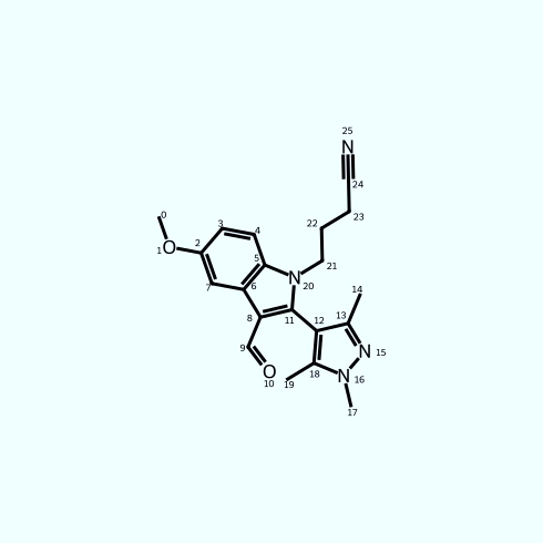 COc1ccc2c(c1)c(C=O)c(-c1c(C)nn(C)c1C)n2CCCC#N